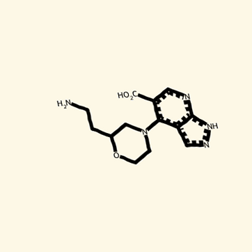 NCCC1CN(c2c(C(=O)O)cnc3[nH]ncc23)CCO1